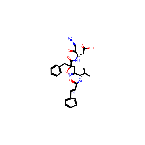 CC(C)[C@H](NC(=O)/C=C/c1ccccc1)C1=NOC(Cc2ccccc2)(C(=O)N[C@@H](CC(=O)O)C(=O)C=[N+]=[N-])C1